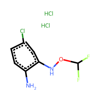 Cl.Cl.Nc1ccc(Cl)cc1NOC(F)F